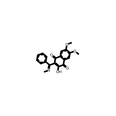 CN=C(C1=C(O)C(=O)c2cc(OC)c(OC)cc2C1=O)c1ccccc1